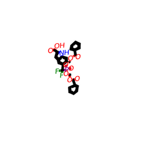 O=C(OCOP(=O)(OCOC(=O)c1ccccc1)C(F)(F)c1ccc2[nH]c(C(=O)O)cc2c1)c1ccccc1